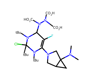 CN(C)C12CC1CN(C1=C(F)C(N(C(=O)O)N(C(=O)O)C(=O)O)N(C(C)(C)C)C(Cl)(C(C)(C)C)N1C(C)(C)C)C2